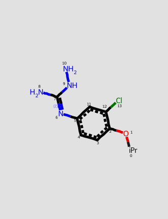 CC(C)Oc1ccc(/N=C(/N)NN)cc1Cl